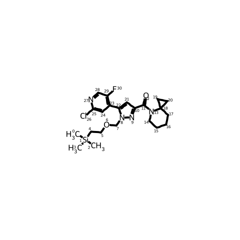 C[Si](C)(C)CCOCn1nc(C(=O)N2CCCCC23CC3)cc1-c1cc(Cl)ncc1F